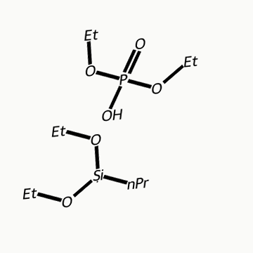 CCC[Si](OCC)OCC.CCOP(=O)(O)OCC